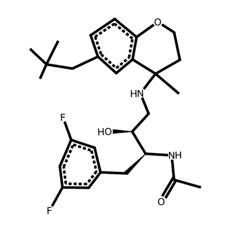 CC(=O)N[C@@H](Cc1cc(F)cc(F)c1)[C@@H](O)CNC1(C)CCOc2ccc(CC(C)(C)C)cc21